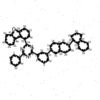 c1ccc(-c2nc(-c3cccc(-c4ccc5cc(-c6cccc7ccccc67)ccc5c4)c3)nc(-c3cccc4oc5ccccc5c34)n2)cc1